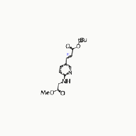 COC(=O)CNc1ccc(/C=C/C(=O)OC(C)(C)C)cn1